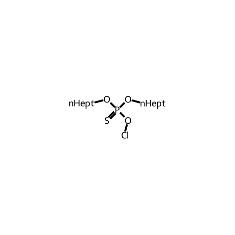 CCCCCCCOP(=S)(OCl)OCCCCCCC